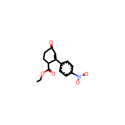 CCOC(=O)C1CCC(=O)C=C1c1ccc([N+](=O)[O-])cc1